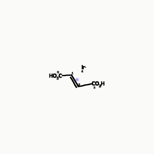 O=C(O)/C=C/C(=O)O.[Ir]